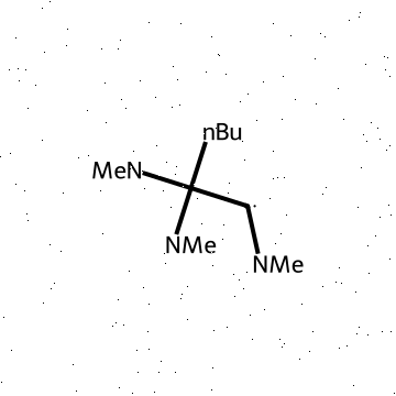 CCCCC([CH]NC)(NC)NC